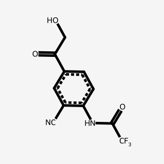 N#Cc1cc(C(=O)CO)ccc1NC(=O)C(F)(F)F